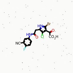 N#Cc1cc(NC(=O)Cc2[nH]c(Br)c(C(=O)C(=O)O)c2Cl)ccc1F